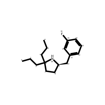 CCCC1(CCC)CC[C@H](Cc2cccc(F)c2)N1